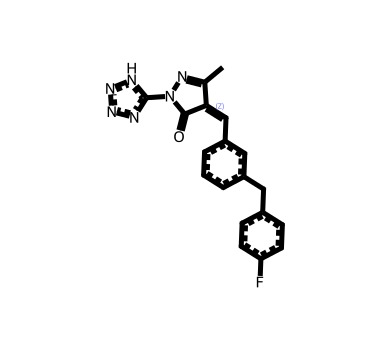 CC1=NN(c2nnn[nH]2)C(=O)/C1=C\c1cccc(Cc2ccc(F)cc2)c1